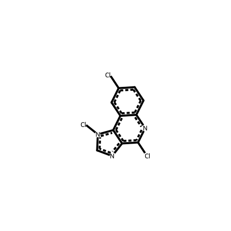 Clc1ccc2nc(Cl)c3ncn(Cl)c3c2c1